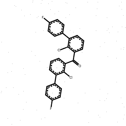 O=C(c1cccc(-c2ccc(F)cc2)c1Cl)c1cccc(-c2ccc(F)cc2)c1Cl